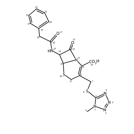 Cn1nnnc1SCC1=C(C(=O)O)N2C(=O)C(NC(=O)Cc3ccccc3)C2SC1